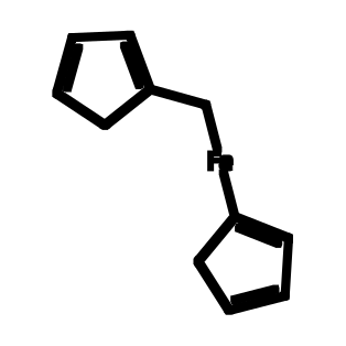 C1=CCC([CH2][Fe][C]2=CC=CC2)=C1